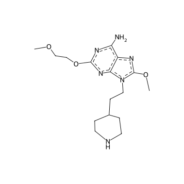 COCCOc1nc(N)c2nc(OC)n(CCC3CCNCC3)c2n1